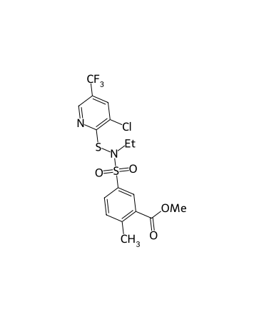 CCN(Sc1ncc(C(F)(F)F)cc1Cl)S(=O)(=O)c1ccc(C)c(C(=O)OC)c1